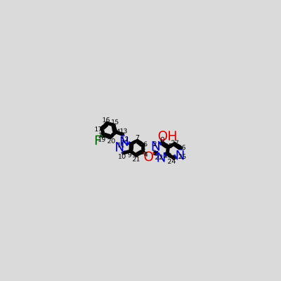 Oc1nc(Oc2ccc3c(cnn3Cc3cccc(F)c3)c2)nc2cnccc12